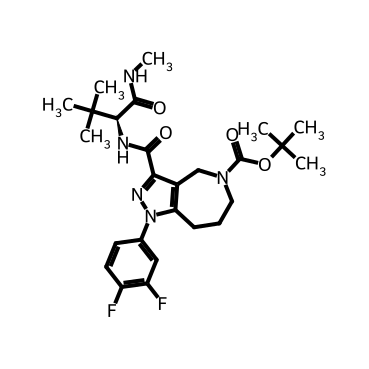 CNC(=O)[C@@H](NC(=O)c1nn(-c2ccc(F)c(F)c2)c2c1CN(C(=O)OC(C)(C)C)CCC2)C(C)(C)C